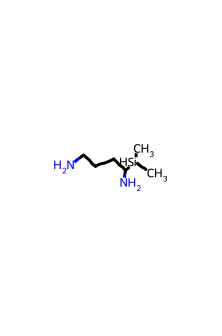 C[SiH](C)C(N)CCCN